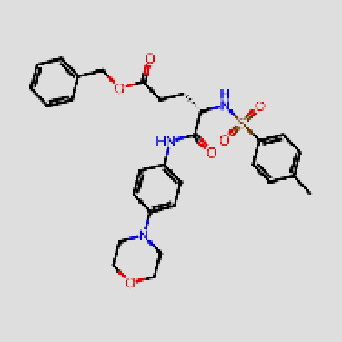 Cc1ccc(S(=O)(=O)N[C@@H](CCC(=O)OCc2ccccc2)C(=O)Nc2ccc(N3CCOCC3)cc2)cc1